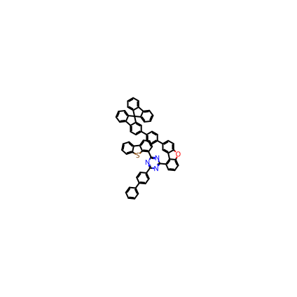 c1ccc(-c2ccc(-c3nc(-c4cccc5c4sc4ccccc45)nc(-c4cccc5oc6ccc(-c7ccc(-c8ccc9c(c8)C8(c%10ccccc%10-c%10ccccc%108)c8ccccc8-9)cc7)cc6c45)n3)cc2)cc1